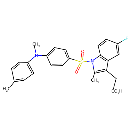 Cc1ccc(N(C)c2ccc(S(=O)(=O)n3c(C)c(CC(=O)O)c4cc(F)ccc43)cc2)cc1